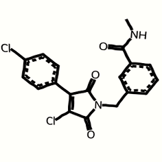 CNC(=O)c1cccc(CN2C(=O)C(Cl)=C(c3ccc(Cl)cc3)C2=O)c1